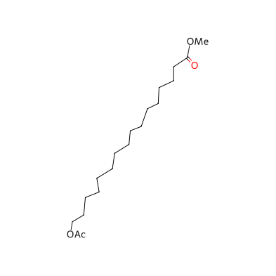 COC(=O)CCCCCCCCCCCCCCCOC(C)=O